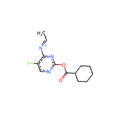 C/C=N/c1nc(OC(=O)C2CCCCC2)ncc1F